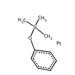 C[Si](C)(C)Oc1cc[c]cc1.[Pt]